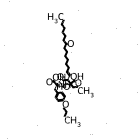 CCCCCCCC(=O)CCCCCCC=C[C@H](C(=O)N[C@@H](Cc1ccc(OCCCC)cc1)C(=O)O)[C@@](O)(CCC)C(=O)O